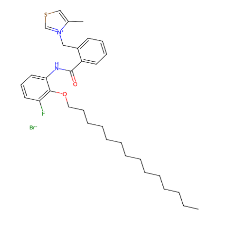 CCCCCCCCCCCCCCOc1c(F)cccc1NC(=O)c1ccccc1C[n+]1cscc1C.[Br-]